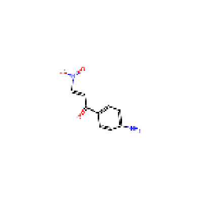 Nc1ccc(C(=O)C=C[N+](=O)[O-])cc1